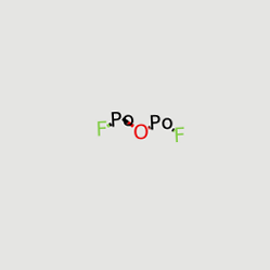 [F][Po][O][Po][F]